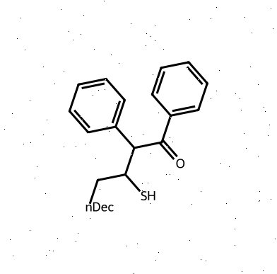 CCCCCCCCCCCC(S)C(C(=O)c1ccccc1)c1ccccc1